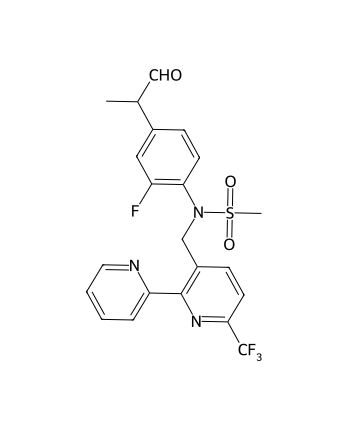 CC(C=O)c1ccc(N(Cc2ccc(C(F)(F)F)nc2-c2ccccn2)S(C)(=O)=O)c(F)c1